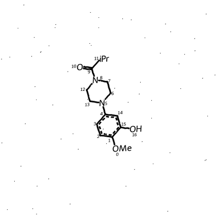 COc1ccc(N2CCN(C(=O)C(C)C)CC2)cc1O